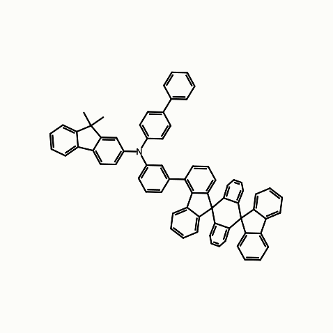 CC1(C)c2ccccc2-c2ccc(N(c3ccc(-c4ccccc4)cc3)c3cccc(-c4cccc5c4-c4ccccc4C54c5ccccc5C5(c6ccccc6-c6ccccc65)c5ccccc54)c3)cc21